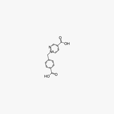 O=C(O)c1ccc(C[n+]2ccc(C(=O)O)cn2)cc1